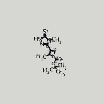 CC1C(c2n[nH]c(=S)n2C)CN1C(=O)OC(C)(C)C